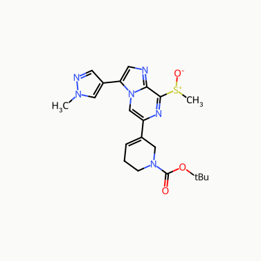 Cn1cc(-c2cnc3c([S+](C)[O-])nc(C4=CCCN(C(=O)OC(C)(C)C)C4)cn23)cn1